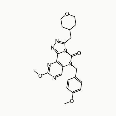 COc1ccc(Cn2c(=O)n3c(CC4CCOCC4)nnc3c3nc(OC)ncc32)cc1